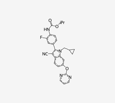 CC(C)OC(=O)Nc1ccc(-c2c(C#N)c3ccc(Oc4ncccn4)cc3n2CC2CC2)cc1F